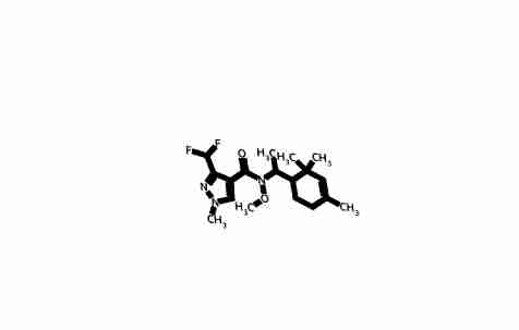 CON(C(=O)c1cn(C)nc1C(F)F)C(C)C1CCC(C)=CC1(C)C